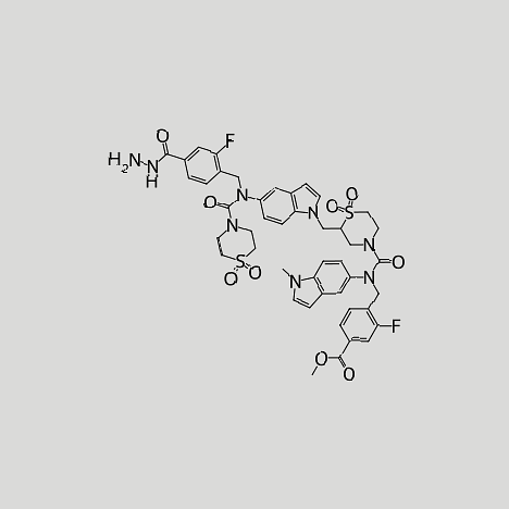 COC(=O)c1ccc(CN(C(=O)N2CCS(=O)(=O)C(Cn3ccc4cc(N(Cc5ccc(C(=O)NN)cc5F)C(=O)N5CCS(=O)(=O)CC5)ccc43)C2)c2ccc3c(ccn3C)c2)c(F)c1